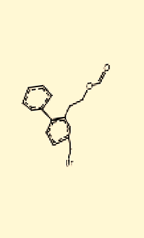 O=COCCc1cc(CBr)ccc1-c1ccccc1